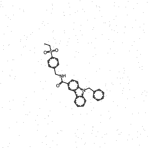 CCS(=O)(=O)c1ccc(CNC(=O)c2ccc3c(c2)c2ccccc2n3Cc2ccccc2)cc1